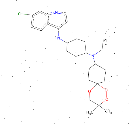 CC(C)CN(C1CCC(Nc2ccnc3cc(Cl)ccc23)CC1)C1CCC2(CC1)OCC(C)(C)OO2